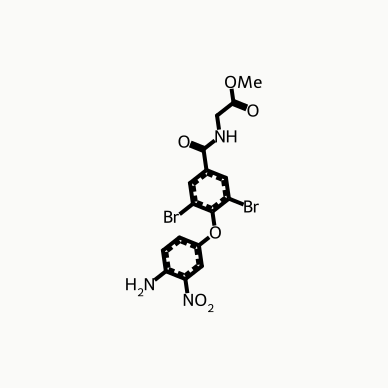 COC(=O)CNC(=O)c1cc(Br)c(Oc2ccc(N)c([N+](=O)[O-])c2)c(Br)c1